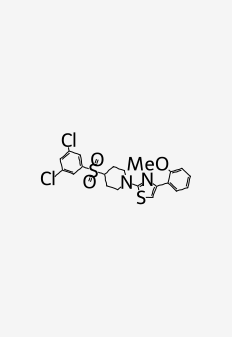 COc1ccccc1-c1csc(N2CCC(S(=O)(=O)c3cc(Cl)cc(Cl)c3)CC2)n1